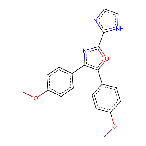 COc1ccc(-c2nc(-c3ncc[nH]3)oc2-c2ccc(OC)cc2)cc1